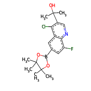 CC(C)(O)c1cnc2c(F)cc(B3OC(C)(C)C(C)(C)O3)cc2c1Cl